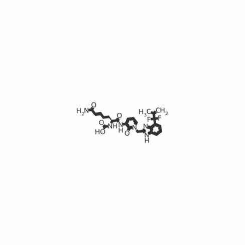 C=C(C)C(F)(F)c1cccc2[nH]c(Cn3cccc(NC(=O)[C@H](CC/C=C/C(N)=O)NC(=O)O)c3=O)nc12